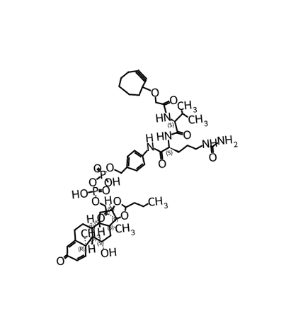 CCCC1O[C@@H]2C[C@H]3[C@@H]4CCC5=CC(=O)C=C[C@]5(C)[C@H]4[C@@H](O)C[C@]3(C)[C@]2(C(=O)COP(=O)(O)OP(=O)(O)OCc2ccc(NC(=O)[C@H](CCCNC(N)=O)NC(=O)[C@@H](NC(=O)COC3C#CCCCCC3)C(C)C)cc2)O1